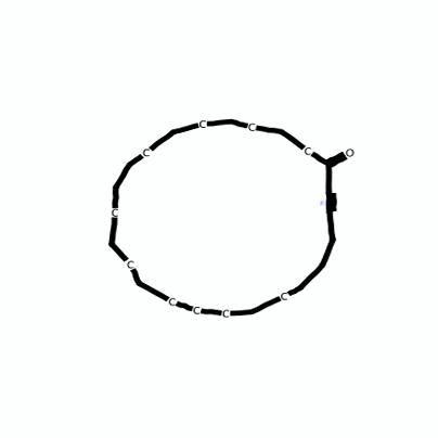 O=C1/C=C/CCCCCCCCCCCCCCCCCCCCC1